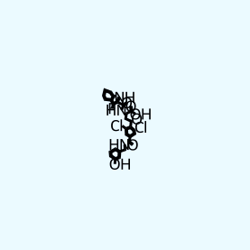 O=C(NCc1cccc(O)c1)c1cc(Cl)c(C(=O)CC(NC(=O)c2[nH]c3ccccc3c2F)C(=O)O)c(Cl)c1